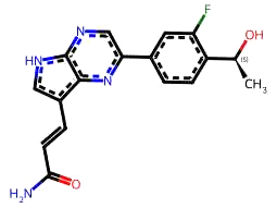 C[C@H](O)c1ccc(-c2cnc3[nH]cc(C=CC(N)=O)c3n2)cc1F